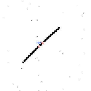 CCCCCCCCCCCCCCCCCCOCCCOCCCCCCCCCCCCCCCCCC.CNC